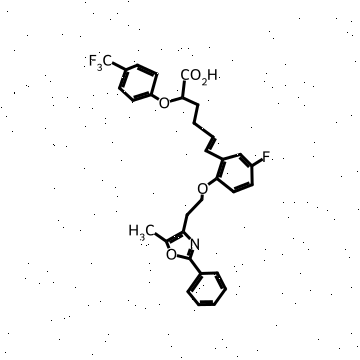 Cc1oc(-c2ccccc2)nc1CCOc1ccc(F)cc1C=CCCC(Oc1ccc(C(F)(F)F)cc1)C(=O)O